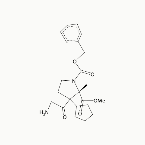 COC(=O)[C@@]1(C)N(C(=O)OCc2ccccc2)CCC1(C(=O)CN)C1CCCC1